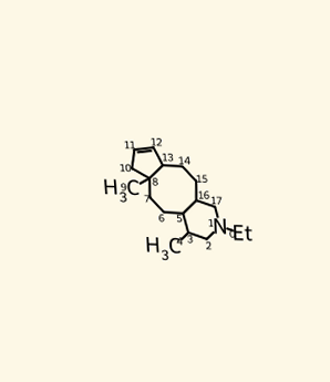 CCN1CC(C)C2CCC3(C)CC=CC3CCC2C1